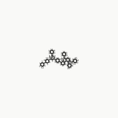 c1ccc(-c2ccc(-c3cc(-c4ccc(-c5cccc6c5nc(-c5ccccc5)c5ccc7c(c8ccccc8n7-c7ccccc7)c56)cc4)nc(-c4ccccc4)n3)cc2)cc1